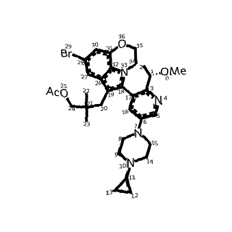 CO[C@@H](C)c1ncc(N2CCN(C3CC3)CC2)cc1-c1c(CC(C)(C)COC(C)=O)c2cc(Br)cc3c2n1CCO3